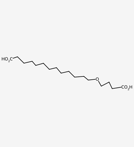 O=C(O)CCCCCCCCCCCCOCCCC(=O)O